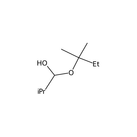 CCC(C)(C)OC(O)C(C)C